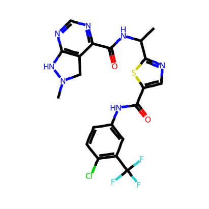 CC(NC(=O)c1ncnc2c1CN(C)N2)c1ncc(C(=O)Nc2ccc(Cl)c(C(F)(F)F)c2)s1